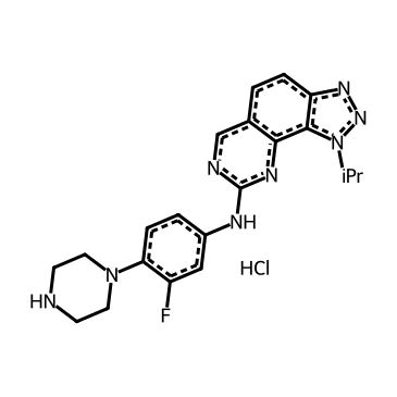 CC(C)n1nnc2ccc3cnc(Nc4ccc(N5CCNCC5)c(F)c4)nc3c21.Cl